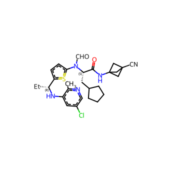 CC[C@@H](Nc1cc(Cl)cnc1C)c1ccc(N(C=O)[C@@H](CC2CCCC2)C(=O)NC23CC(C#N)(C2)C3)s1